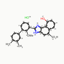 COc1c(-c2ccc(C)c(C)c2)cccc1-c1nc2c(cc(S(=O)(=O)O)c3cccc(O)c32)[nH]1.Cl